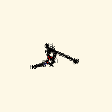 CCC1=C(C)c2cc3[nH]c(cc4nc(c5c6[nH]c(cc1n2)c(C)c6C(=O)N(CCN1CCOCC1)C5=O)[C@@H](CCC(=O)N(C)CCNC(=O)[C@H](CCCNC(N)=O)NC(=O)[C@H](C)NC(=O)CCOCCOCCOCCOCCOCCOCCOCCOCCN1C(=O)C=CC1=O)[C@@H]4C)c(C)c3/C=C/C(=O)OCCOCCOCCO